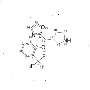 FC(F)(F)c1ccccc1O[C@H](c1ncco1)[C@@H]1CCNC1